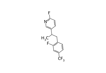 CC(Cc1ccc(C(F)(F)F)cc1F)c1ccc(F)nc1